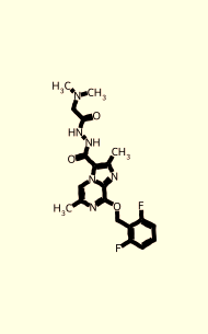 Cc1cn2c(C(=O)NNC(=O)CN(C)C)c(C)nc2c(OCc2c(F)cccc2F)n1